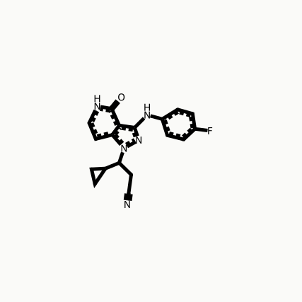 N#CCC(C1CC1)n1nc(Nc2ccc(F)cc2)c2c(=O)[nH]ccc21